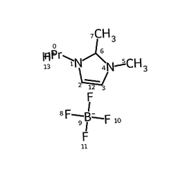 CCCN1C=CN(C)C1C.F[B-](F)(F)F.[H+]